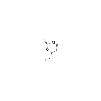 O=C(Cl)OC(CF)CF